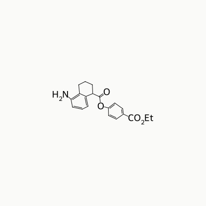 CCOC(=O)c1ccc(OC(=O)C2CCCc3c(N)cccc32)cc1